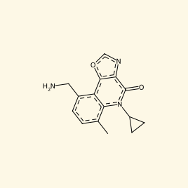 Cc1ccc(CN)c2c3ocnc3c(=O)n(C3CC3)c12